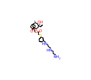 C=C[C@]1(C)C[C@@H](OC(=O)CSc2cccc(CNCCCNCCCN)c2)[C@]2(C)C(C)CC34CC(CCC3=O)(C42)[C@@H](C)[C@@H]1O